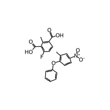 Cc1c(C(=O)O)ccc(F)c1C(=O)O.Cc1cc([N+](=O)[O-])ccc1Oc1ccccc1